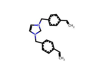 C=Cc1ccc(CN2C=CN(Cc3ccc(C=C)cc3)C2)cc1